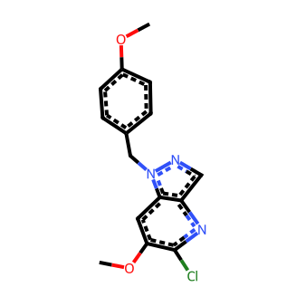 COc1ccc(Cn2ncc3nc(Cl)c(OC)cc32)cc1